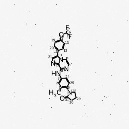 Cc1cc(Nc2nccn3c(-c4ccc(OC(F)F)cc4)cnc23)ccc1N1CCCC1=O